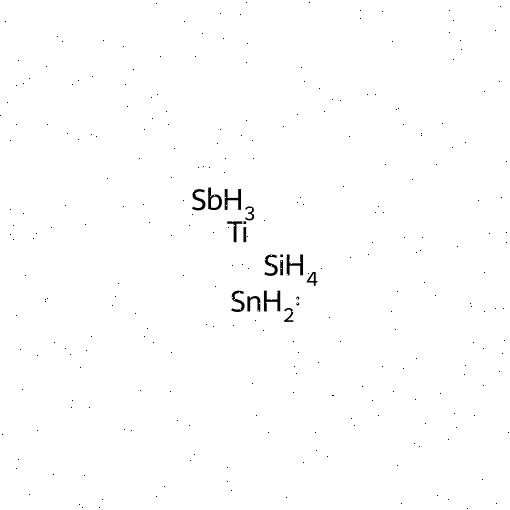 [SbH3].[SiH4].[SnH2].[Ti]